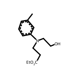 CCOC(=O)CCN(CCO)c1cccc(C)c1